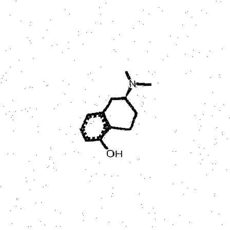 CN(C)[C@H]1CCc2c(O)cccc2C1